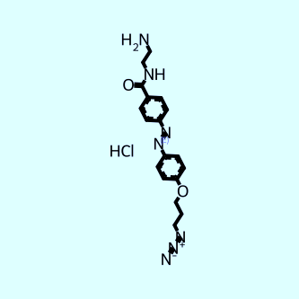 Cl.[N-]=[N+]=NCCCOc1ccc(/N=N/c2ccc(C(=O)NCCN)cc2)cc1